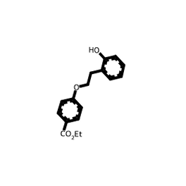 CCOC(=O)c1ccc(OCCc2ccccc2O)cc1